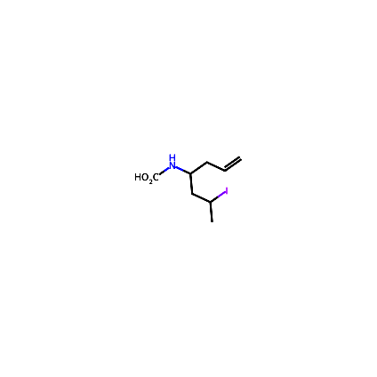 C=CCC(CC(C)I)NC(=O)O